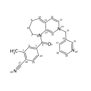 Cc1cc(C(=O)N2CCCC=C3C=CN(Cc4cccnc4)C=C32)ccc1C#N